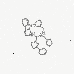 N=C(c1cccc(-c2ccccc2)c1)N1C(c2ccccc2)[N@]1Cc1cccc(-n2c3ccccc3c3ccccc32)c1